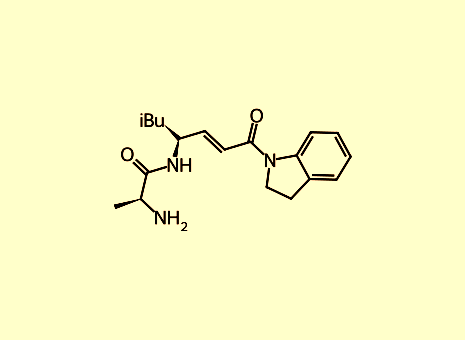 CC[C@H](C)[C@@H](/C=C/C(=O)N1CCc2ccccc21)NC(=O)[C@H](C)N